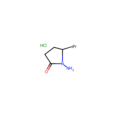 CC(C)C1CCC(=O)N1N.Cl